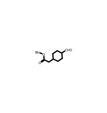 CC(C)(C)OC(=O)CC1CCC(C=O)CC1